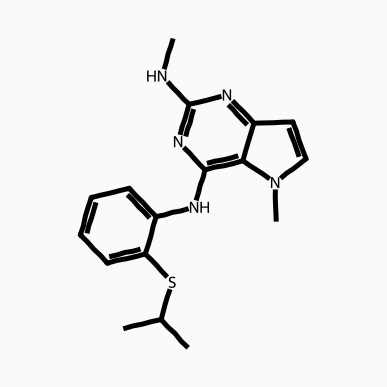 CNc1nc(Nc2ccccc2SC(C)C)c2c(ccn2C)n1